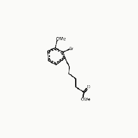 COC(=O)CCCCc1cccc(OC)c1Br